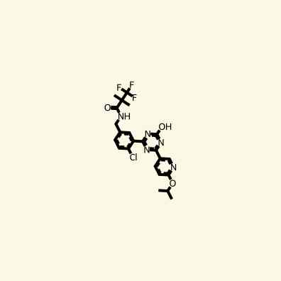 CC(C)Oc1ccc(-c2nc(O)nc(-c3cc(CNC(=O)C(C)(C)C(F)(F)F)ccc3Cl)n2)cn1